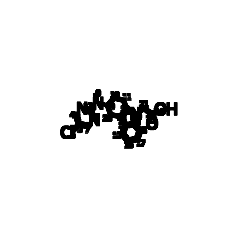 CN(c1ncc(Cl)cn1)[C@H]1CCc2c(c3ccccc3n2CC(=O)O)C1